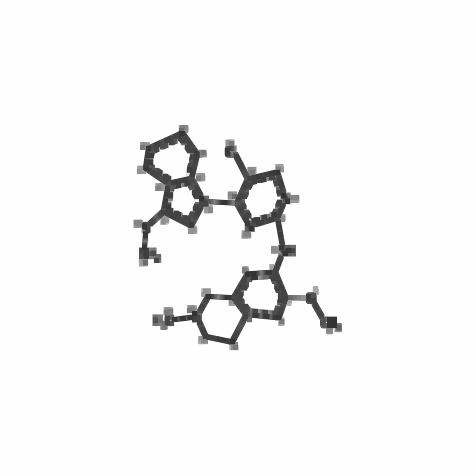 COc1cc2c(cc1Nc1ncc(Cl)c(-n3cc(SN)c4ccccc43)n1)CN(C)CC2